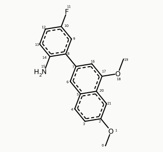 COc1ccc2cc(-c3cc(F)ccc3N)cc(OC)c2c1